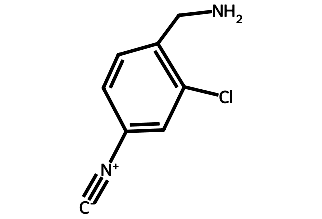 [C-]#[N+]c1ccc(CN)c(Cl)c1